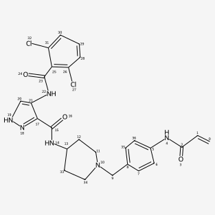 C=CC(=O)Nc1ccc(CN2CCC(NC(=O)c3n[nH]cc3NC(=O)c3c(Cl)cccc3Cl)CC2)cc1